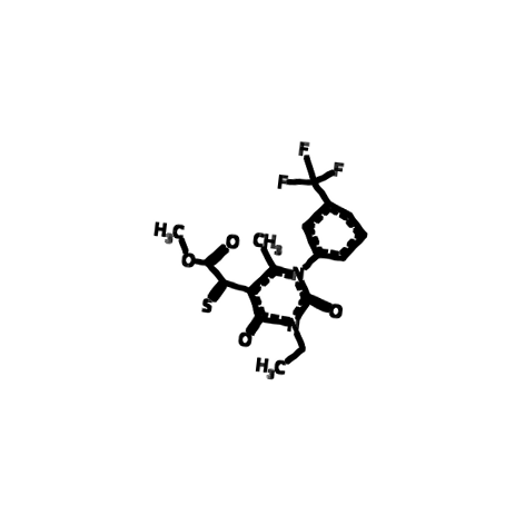 CCn1c(=O)c(C(=S)C(=O)OC)c(C)n(-c2cccc(C(F)(F)F)c2)c1=O